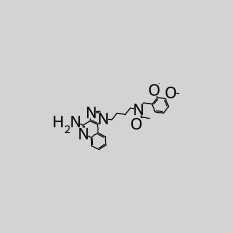 COc1cccc(CN(CCCCn2cnc3c(N)nc4ccccc4c32)C(C)=O)c1OC